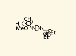 CCO[Si](CCCN1CCN(Cc2ccc(C)c(C)c2OC)CC1)(OCC)OCC